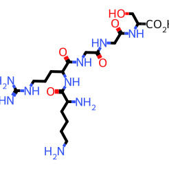 N=C(N)NCCCC(NC(=O)C(N)CCCCN)C(=O)NCC(=O)NCC(=O)NC(CO)C(=O)O